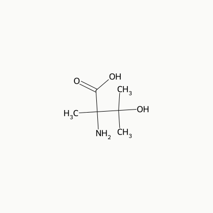 CC(C)(O)C(C)(N)C(=O)O